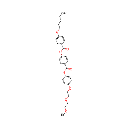 CCOCCOCCOc1ccc(OC(=O)c2ccc(OC(=O)c3ccc(OCCCCOC(C)=O)cc3)cc2)cc1